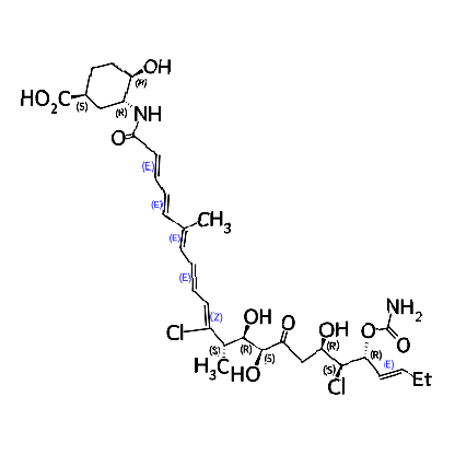 CC/C=C/[C@@H](OC(N)=O)[C@@H](Cl)[C@H](O)CC(=O)[C@@H](O)[C@H](O)[C@H](C)/C(Cl)=C/C=C/C=C(C)/C=C/C=C/C(=O)N[C@@H]1C[C@@H](C(=O)O)CC[C@H]1O